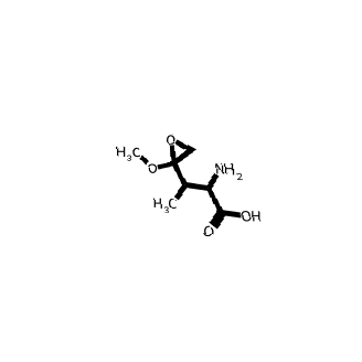 COC1(C(C)C(N)C(=O)O)CO1